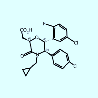 O=C(O)C[C@H]1O[C@H](c2cc(Cl)ccc2F)[C@@H](c2ccc(Cl)cc2)N(CC2CC2)C1=O